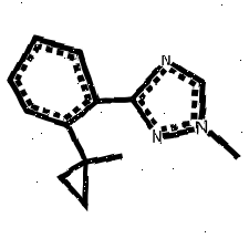 Cn1cnc(-c2ccccc2C2(C)CC2)n1